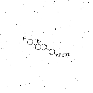 CCCCCc1ccc(-c2ccc3c(F)c(-c4ccc(F)cc4)ccc3c2)cc1